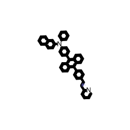 C(=C\c1ccccn1)/c1ccc(-c2c3ccccc3c(-c3ccc(N(c4ccccc4)c4ccc5ccccc5c4)cc3)c3ccccc23)cc1